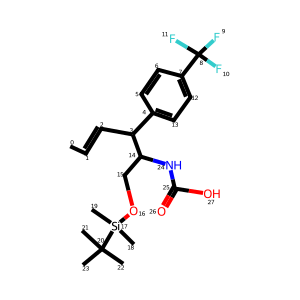 CC=CC(c1ccc(C(F)(F)F)cc1)C(CO[Si](C)(C)C(C)(C)C)NC(=O)O